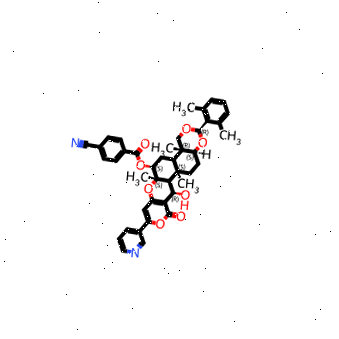 Cc1cccc(C)c1[C@@H]1OC[C@@]2(C)C3C[C@H](OC(=O)c4ccc(C#N)cc4)[C@@]4(C)Oc5cc(-c6cccnc6)oc(=O)c5[C@H](O)C4[C@@]3(C)CC[C@@H]2O1